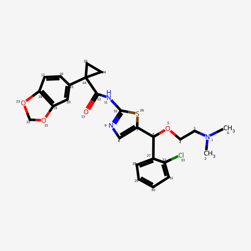 CN(C)CCOC(c1cnc(NC(=O)C2(c3ccc4c(c3)OCO4)CC2)s1)c1ccccc1Cl